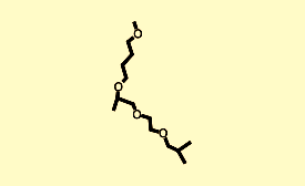 COCCCCOC(C)COCCOCC(C)C